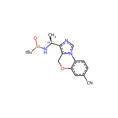 C[C@H](N[S+]([O-])C(C)(C)C)c1ncn2c1COc1cc(C#N)ccc1-2